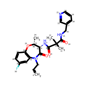 C=CCN1C(=O)[C@@H](NC(=O)C(C)(C)C(=O)NCc2cccnc2)[C@@H](C)Oc2ccc(F)cc21